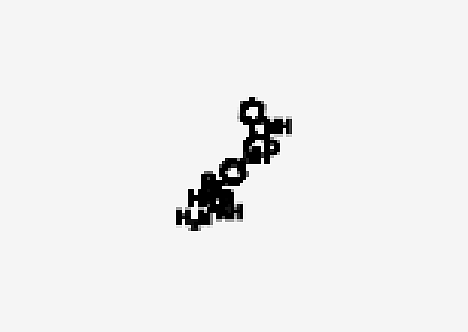 N=C(N)NS(=O)(=O)c1ccc(NC=C2C(=O)Nc3ccccc32)cc1